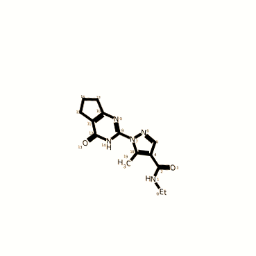 CCNC(=O)c1cnn(-c2nc3c(c(=O)[nH]2)CCC3)c1C